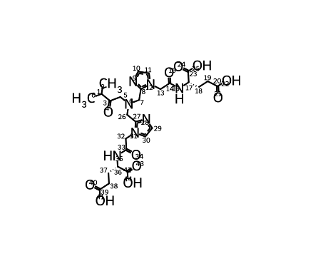 CC(C)C(=O)CN(Cc1nccn1CC(=O)N[C@@H](CCC(=O)O)C(=O)O)Cc1nccn1CC(=O)N[C@@H](CCC(=O)O)C(=O)O